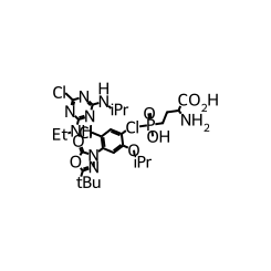 CC(C)Oc1cc(-n2nc(C(C)(C)C)oc2=O)c(Cl)cc1Cl.CCNc1nc(Cl)nc(NC(C)C)n1.CP(=O)(O)CCC(N)C(=O)O